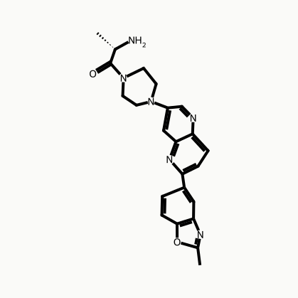 Cc1nc2cc(-c3ccc4ncc(N5CCN(C(=O)[C@H](C)N)CC5)cc4n3)ccc2o1